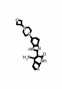 Nc1c(-c2nc3ccc(N4CCN(C5COC5)CC4)cc3[nH]2)c(=O)[nH]c2sccc12